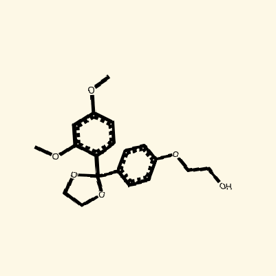 COc1ccc(C2(c3ccc(OCCO)cc3)OCCO2)c(OC)c1